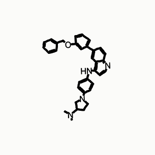 CN(C)C1CCN(c2ccc(Nc3ccnc4ccc(-c5cccc(OCc6ccccc6)c5)cc34)cc2)C1